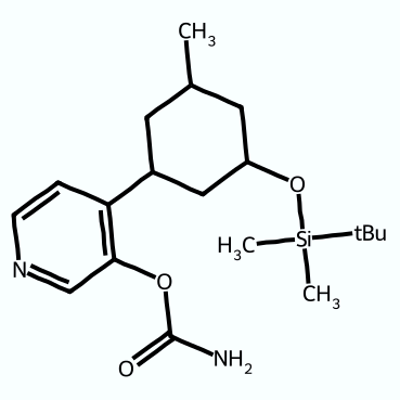 CC1CC(O[Si](C)(C)C(C)(C)C)CC(c2ccncc2OC(N)=O)C1